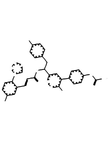 COC(=O)Nc1ccc(-c2cc(C(Cc3ccc(F)cc3)NC(=O)C=Cc3cc(Cl)ccc3-n3cnnn3)nnc2Cl)cc1